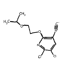 [C-]#[N+]c1cc(Cl)c(Cl)nc1OCCOC(C)C